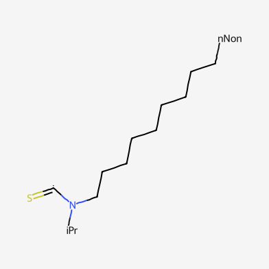 CCCCCCCCCCCCCCCCCCN([C]=S)C(C)C